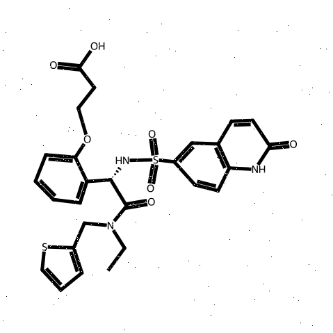 CCN(Cc1cccs1)C(=O)[C@@H](NS(=O)(=O)c1ccc2[nH]c(=O)ccc2c1)c1ccccc1OCCC(=O)O